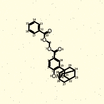 COc1ccc(C(=O)OCOC(=O)c2ccccc2)cc1C12CC3CC(CC(C3)C1)C2